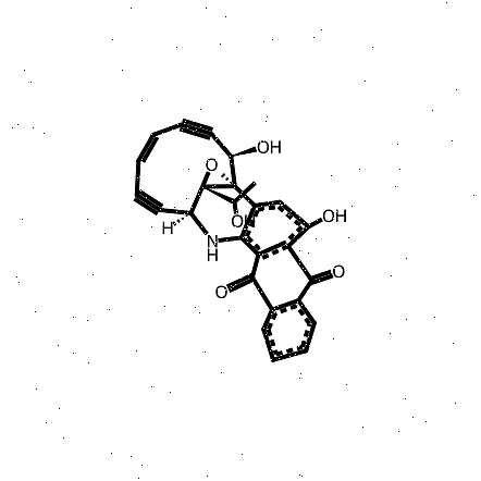 CC(O)[C@@]12O[C@]13c1cc(O)c4c(c1N[C@H]2C#C/C=C\C#C[C@H]3O)C(=O)c1ccccc1C4=O